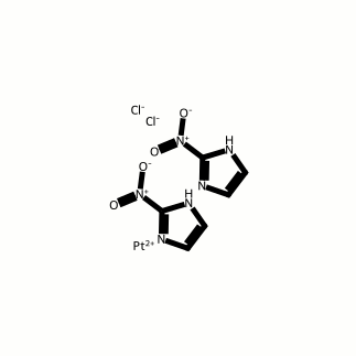 O=[N+]([O-])c1ncc[nH]1.O=[N+]([O-])c1ncc[nH]1.[Cl-].[Cl-].[Pt+2]